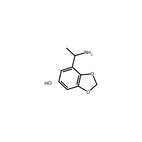 CC(N)c1cccc2c1OCO2.Cl